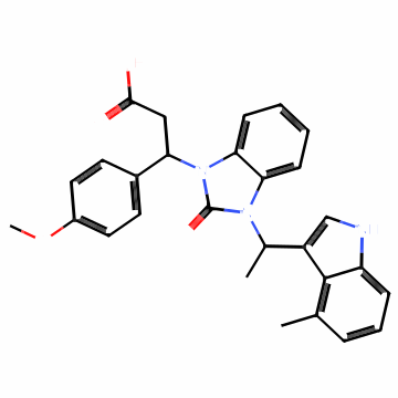 COc1ccc(C(CC(=O)O)n2c(=O)n(C(C)c3c[nH]c4cccc(C)c34)c3ccccc32)cc1